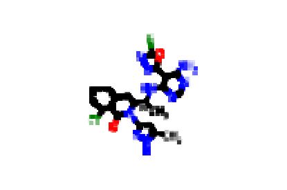 Cc1cc(-n2c([C@H](C)Nc3ncnc(N)c3-c3nnc(F)o3)cc3cccc(Cl)c3c2=O)n[nH]1